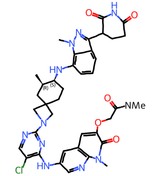 CNC(=O)COc1cc2cc(Nc3nc(N4CC5(CC[C@H](Nc6cccc7c(C8CCC(=O)NC8=O)nn(C)c67)[C@H](C)C5)C4)ncc3Cl)cnc2n(C)c1=O